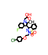 Cc1c(C2=NN(CCOc3ccc(Cl)cc3)S(=O)(=O)c3ccccc32)c2cc(F)ccc2n1CC(=O)O